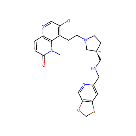 Cn1c(=O)ccc2ncc(Cl)c(CCN3CC[C@@H](CNCc4cc5c(cn4)OCS5)C3)c21